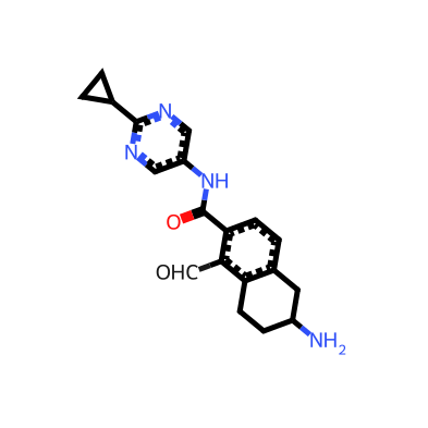 NC1CCc2c(ccc(C(=O)Nc3cnc(C4CC4)nc3)c2C=O)C1